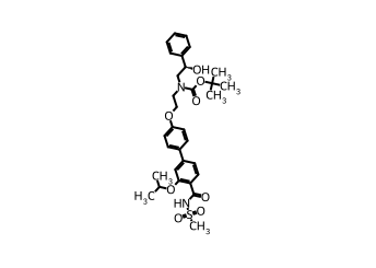 CC(C)Oc1cc(-c2ccc(OCCN(C[C@H](O)c3ccccc3)C(=O)OC(C)(C)C)cc2)ccc1C(=O)NS(C)(=O)=O